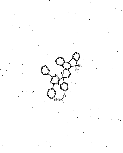 CCCCCCOc1ccc(C2(c3nc(-c4ccccc4)nc(-c4ccccc4)n3)C=Cc3c4c(c5ccccc5c3O2)-c2ccccc2C4(CC)CC)cc1